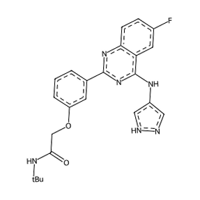 CC(C)(C)NC(=O)COc1cccc(-c2nc(Nc3cn[nH]c3)c3cc(F)ccc3n2)c1